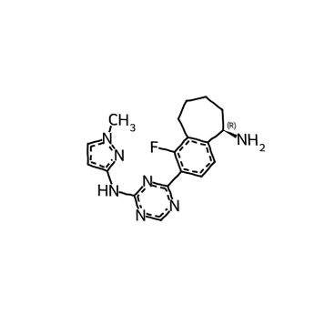 Cn1ccc(Nc2ncnc(-c3ccc4c(c3F)CCCC[C@H]4N)n2)n1